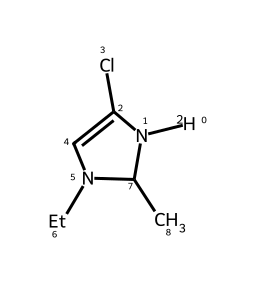 [2H]N1C(Cl)=CN(CC)C1C